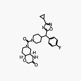 O=C1CO[C@H]2CCN(C(=O)N3CCC(C(c4ccc(F)cc4)c4nc(C5CC5)no4)CC3)C[C@H]2N1